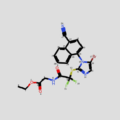 CCOC(=O)CNC(=O)C(F)(F)Sc1ncc(Br)n1-c1ccc(C#N)c2ccccc12